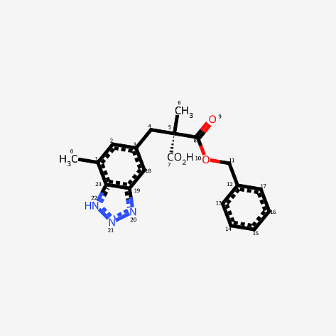 Cc1cc(C[C@](C)(C(=O)O)C(=O)OCc2ccccc2)cc2nn[nH]c12